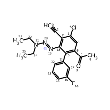 C#Cc1c(Cl)cc(C(C)=O)c(-c2cccc(F)c2)c1/N=N/N(CC)CC